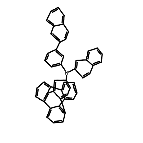 c1cc(-c2ccc3ccccc3c2)cc(N(c2ccc3c(c2)-c2c4cccc2-c2cccc-3c2-c2ccccc2-4)c2ccc3ccccc3c2)c1